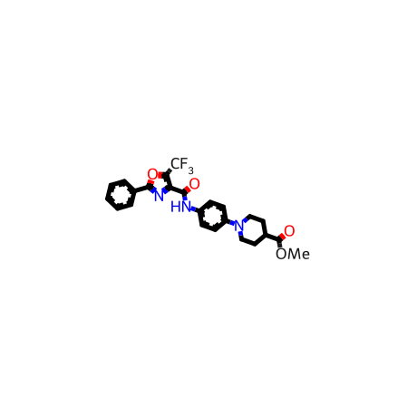 COC(=O)C1CCN(c2ccc(NC(=O)c3nc(-c4ccccc4)oc3C(F)(F)F)cc2)CC1